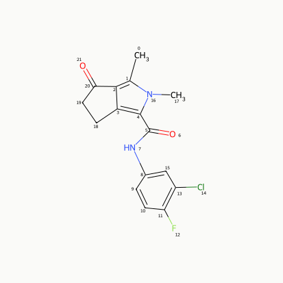 Cc1c2c(c(C(=O)Nc3ccc(F)c(Cl)c3)n1C)CCC2=O